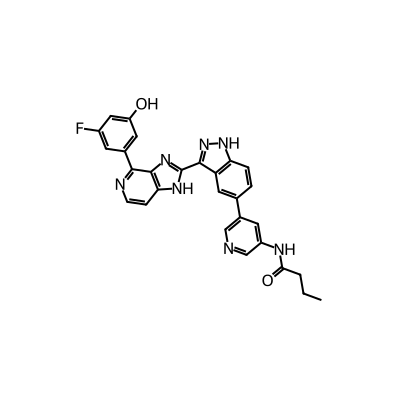 CCCC(=O)Nc1cncc(-c2ccc3[nH]nc(-c4nc5c(-c6cc(O)cc(F)c6)nccc5[nH]4)c3c2)c1